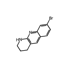 Brc1ccc2cc3c(nc2c1)NCCC3